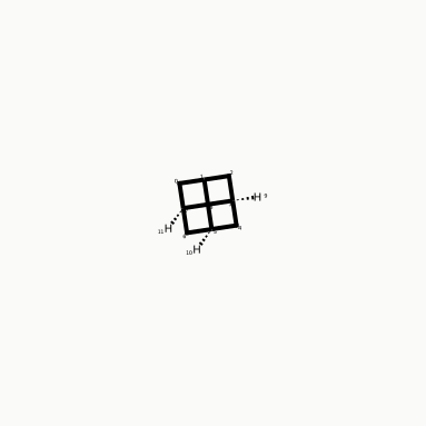 C1C2C[C@H]3C[C@H]4C[C@@H]1C243